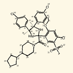 CCOc1cc(Cl)c(S(C)(=O)=O)cc1C1(C(=O)N2CCC(C3CCCC3)CC2)N[C@@](C)(c2ccc(Cl)cc2)[C@@](C)(c2ccc(Cl)cc2)N1